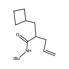 C=CCC(CC1CCC1)C(=O)NC(C)(C)C